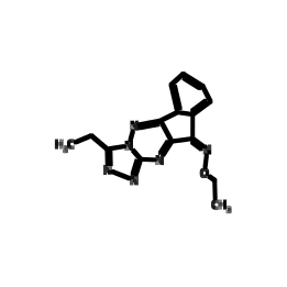 CCON=C1c2ccccc2-c2nn3c(CC)nnc3nc21